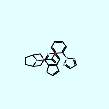 O=C(c1ccccc1-n1nccn1)N1CC2CCC(C1)N2c1nccc2ccoc12